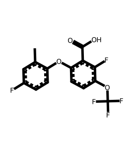 Cc1cc(F)ccc1Oc1ccc(OC(F)(F)F)c(F)c1C(=O)O